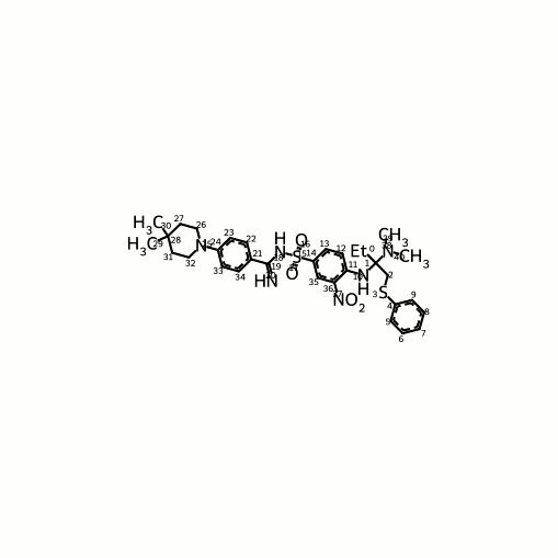 CCC(CSc1ccccc1)(Nc1ccc(S(=O)(=O)NC(=N)c2ccc(N3CCC(C)(C)CC3)cc2)cc1[N+](=O)[O-])N(C)C